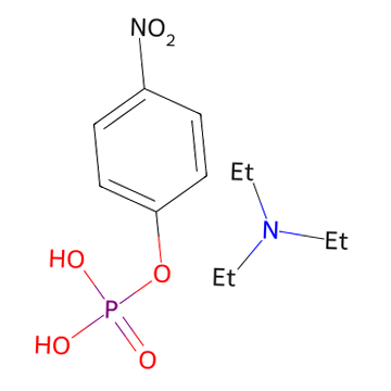 CCN(CC)CC.O=[N+]([O-])c1ccc(OP(=O)(O)O)cc1